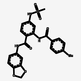 CC(C)(C)c1ccc(C(=O)Nc2cc(NS(C)(=O)=O)ccc2C(=O)Nc2ccc3c(c2)OCO3)cc1